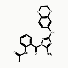 CC(=O)Nc1ccccc1C(=O)n1nc(Nc2ccc3c(c2)OCCO3)nc1N